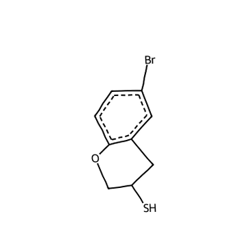 SC1COc2ccc(Br)cc2C1